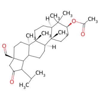 CC(=O)O[C@H]1CC[C@]2(C)[C@H]3CCC4C5C(C(C)C)C(=O)C[C@]5(C=O)CC[C@@]4(C)[C@]3(C)CC[C@H]2C1(C)C